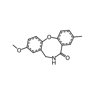 COc1ccc2c(c1)CNC(=O)c1cc(C)ccc1O2